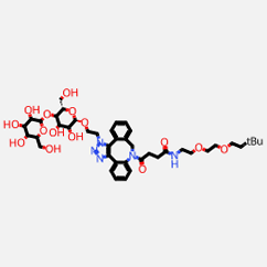 CC(C)(C)CCOCCOCCNC(=O)CCC(=O)N1Cc2ccccc2-c2c(nnn2CCO[C@@H]2O[C@@H](CO)C(OC3OC(CO)C(O)C(O)C3O)C(O)C2O)-c2ccccc21